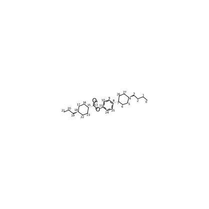 CCCC[C@H]1CC[C@H](c2ccc(OC(=O)[C@H]3CC[C@H](CCC)CC3)cc2)CC1